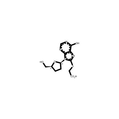 O=C(O)CSc1nc2c(O)ncnc2n1[C@H]1CC[C@@H](CO)O1